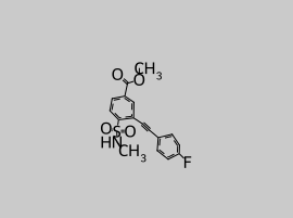 CNS(=O)(=O)c1ccc(C(=O)OC)cc1C#Cc1ccc(F)cc1